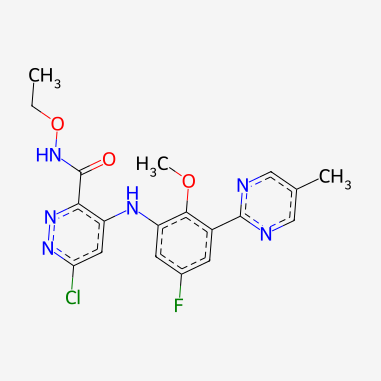 CCONC(=O)c1nnc(Cl)cc1Nc1cc(F)cc(-c2ncc(C)cn2)c1OC